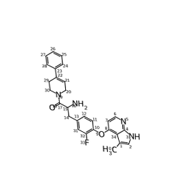 Cc1c[nH]c2nccc(Oc3ccc(CC(N)C(=O)N4CC=C(c5ccccc5)CC4)cc3F)c12